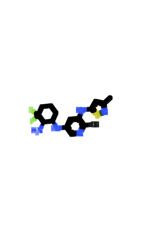 Cc1cc(Nc2cc(N[C@@H]3CCCC(F)(F)[C@@H]3N)cnc2C#N)sn1